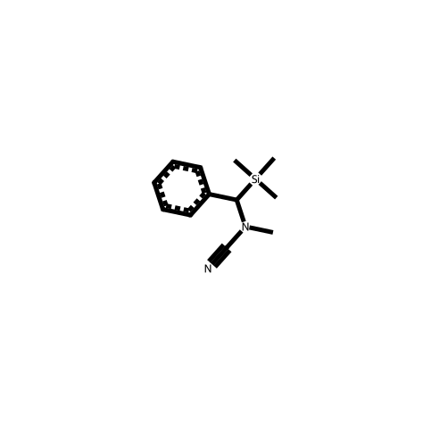 CN(C#N)C(c1ccccc1)[Si](C)(C)C